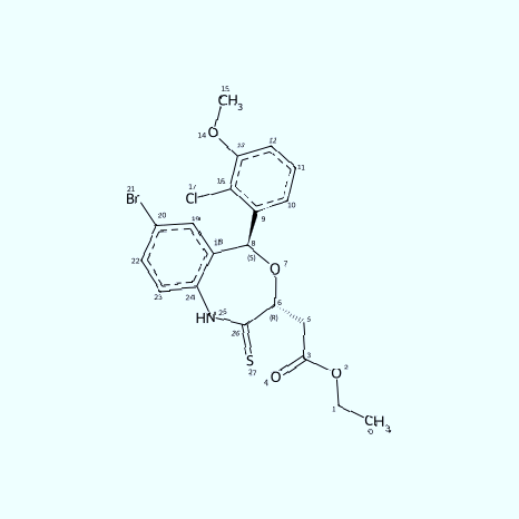 CCOC(=O)C[C@H]1O[C@H](c2cccc(OC)c2Cl)c2cc(Br)ccc2NC1=S